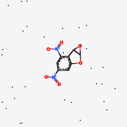 O=[N+]([O-])c1cc2c(c([N+](=O)[O-])c1)C1OC1O2